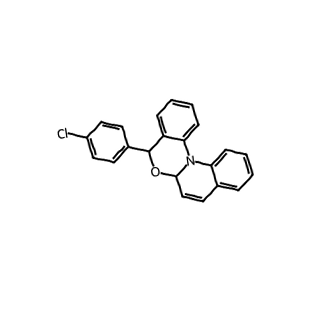 Clc1ccc(C2OC3C=Cc4ccccc4N3c3ccccc32)cc1